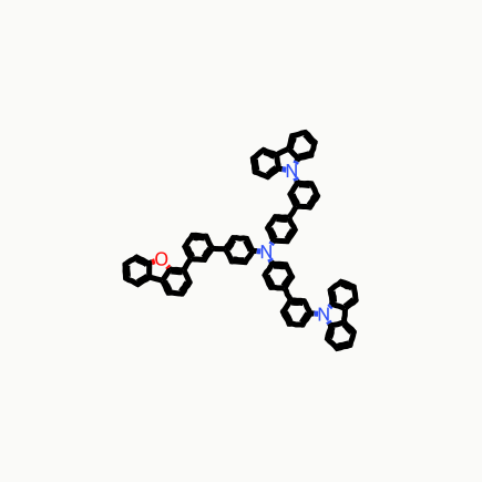 c1cc(-c2ccc(N(c3ccc(-c4cccc(-n5c6ccccc6c6ccccc65)c4)cc3)c3ccc(-c4cccc(-n5c6ccccc6c6ccccc65)c4)cc3)cc2)cc(-c2cccc3c2oc2ccccc23)c1